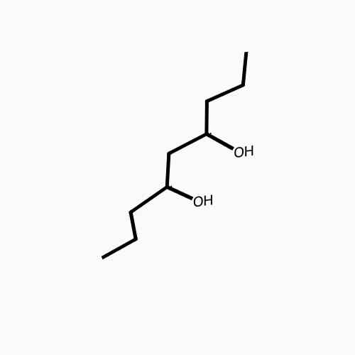 CCC[C](O)C[C](O)CCC